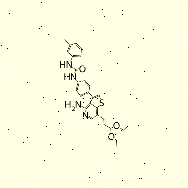 CCOC(C=Cc1cnc(N)c2c(-c3ccc(NC(=O)Nc4cccc(C)c4)cc3)csc12)OCC